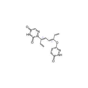 C=C/C(=C\C=C(/C=C)n1ncc(=O)[nH]c1=O)Oc1ccc(=O)[nH]n1